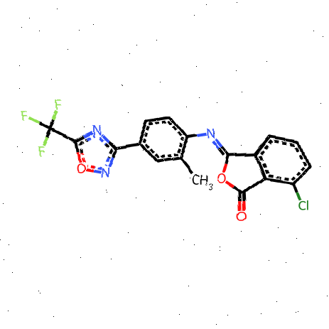 Cc1cc(-c2noc(C(F)(F)F)n2)ccc1/N=C1\OC(=O)c2c(Cl)cccc21